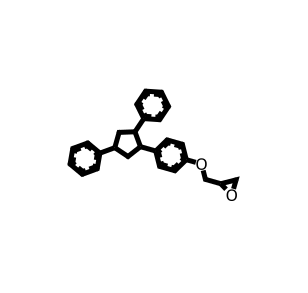 c1ccc(C2CC(c3ccccc3)C(c3ccc(OCC4CO4)cc3)C2)cc1